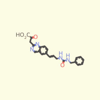 O=C(NC/C=C/c1ccc2nc(CC(=O)C(=O)O)ncc2c1)NCc1ccccc1